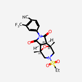 CCS(=O)(=O)N1C[C@@]2(C)O[C@@](C)(C1)[C@@H]1C(=O)N(c3ccc(C#N)c(C(F)(F)F)c3)C(=O)[C@@H]12